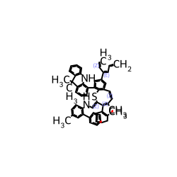 C=C/C=C(\C=C/C)c1cc2c(c(-c3cccc4c3Nc3ccccc3C4(C)C)c1)SC(=C\Nc1ccc(C)cc1-c1ccccc1)/C(C1=C(C)CCC=C1)=C(C)\C=C/2